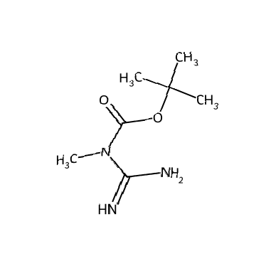 CN(C(=N)N)C(=O)OC(C)(C)C